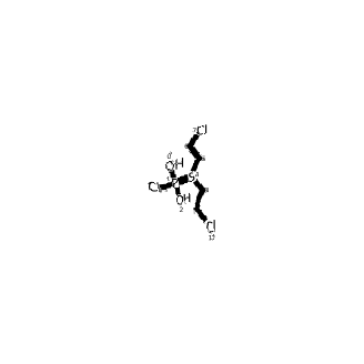 OP(O)(Cl)=S(CCCl)CCCl